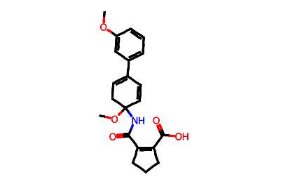 COc1cccc(C2=CCC(NC(=O)C3=C(C(=O)O)CCC3)(OC)C=C2)c1